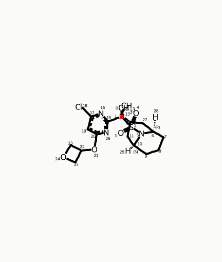 CCS(=O)(=O)N1[C@@H]2CCC[C@H]1C[C@@H](N(C)c1nc(Cl)cc(OC3COC3)n1)C2